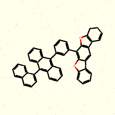 C1=Cc2c(oc3c(-c4cccc(-c5c6ccccc6c(-c6cccc7ccccc67)c6ccccc56)c4)c4oc5ccccc5c4cc23)CC1